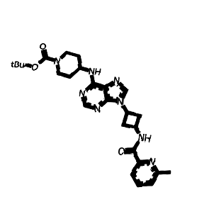 Cc1cccc(C(=O)NC2CC(n3cnc4c(NC5CCN(C(=O)OC(C)(C)C)CC5)ncnc43)C2)n1